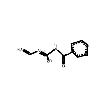 C=C/N=C(\CCC)NC(=O)c1ccccc1